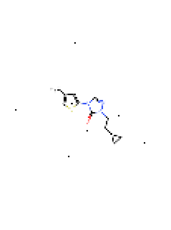 Cc1csc(-n2cnn(CCC3CC3)c2=O)c1